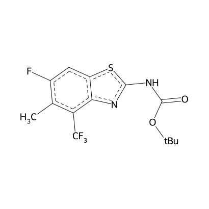 Cc1c(F)cc2sc(NC(=O)OC(C)(C)C)nc2c1C(F)(F)F